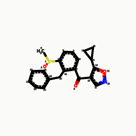 C[S+]([O-])c1cccc(C(=O)c2cnoc2C2CC2)c1Cc1ccccc1